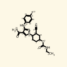 CCNC(=O)OC1CCC(n2cc(C(N)=O)c(Nc3ccc(F)cc3)n2)C(C#N)C1